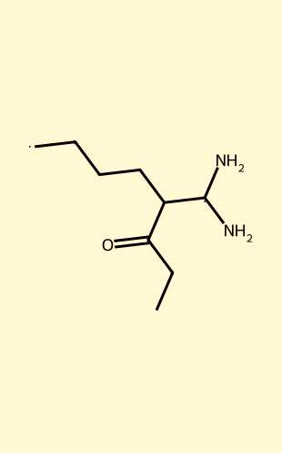 [CH2]CCCC([C](N)N)C(=O)CC